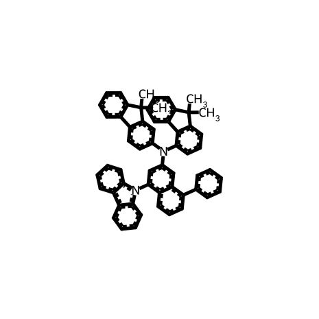 CC1(C)c2ccccc2-c2ccc(N(c3cc(-n4c5ccccc5c5ccccc54)c4cccc(-c5ccccc5)c4c3)c3cccc4c3-c3ccccc3C4(C)C)cc21